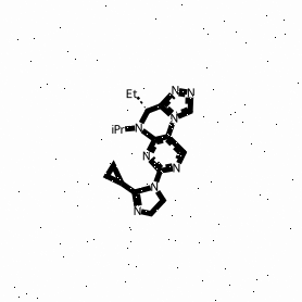 CC[C@@H]1c2nncn2-c2cnc(N3CCN=C3C3CC3)nc2N1C(C)C